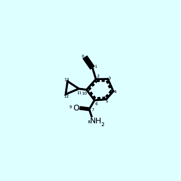 C#Cc1cccc(C(N)=O)c1C1CC1